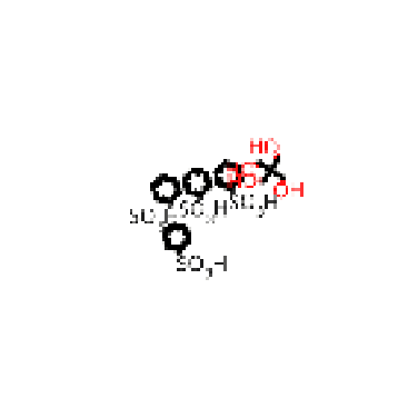 O=S(=O)(O)c1ccccc1.O=S(=O)(O)c1ccccc1.O=S(=O)(O)c1ccccc1.O=S(=O)(O)c1ccccc1.OCC(CO)(CO)CO